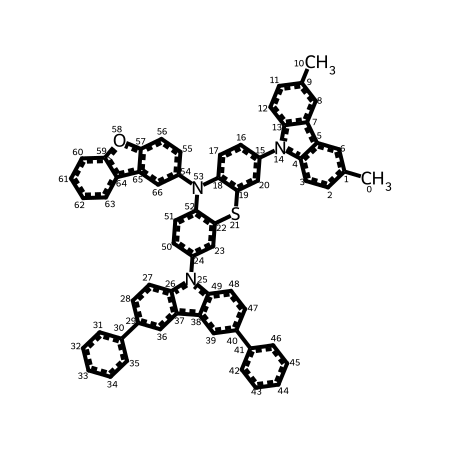 Cc1ccc2c(c1)c1cc(C)ccc1n2-c1ccc2c(c1)Sc1cc(-n3c4ccc(-c5ccccc5)cc4c4cc(-c5ccccc5)ccc43)ccc1N2c1ccc2oc3ccccc3c2c1